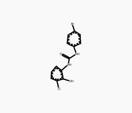 O=C(Nc1ccc(Br)cc1)Nc1cccc(Cl)c1O